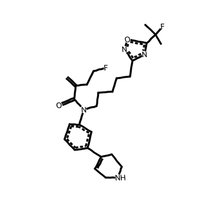 C=C(CCF)C(=O)N(CCCCCc1noc(C(C)(C)F)n1)c1cccc(C2=CCNCC2)c1